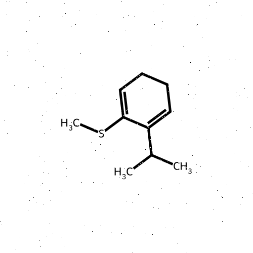 CSC1=CCCC=C1C(C)C